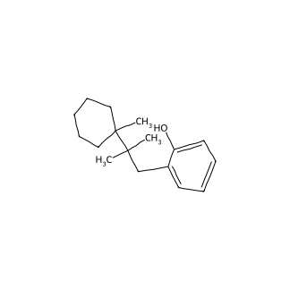 CC(C)(Cc1ccccc1O)C1(C)CCCCC1